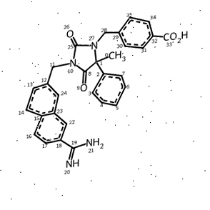 CC1(c2ccccc2)C(=O)N(Cc2ccc3ccc(C(=N)N)cc3c2)C(=O)N1Cc1ccc(C(=O)O)cc1